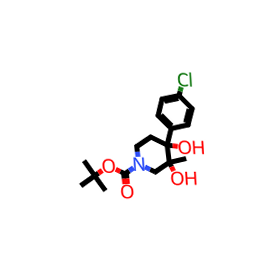 CC(C)(C)OC(=O)N1CCC(O)(c2ccc(Cl)cc2)C(C)(O)C1